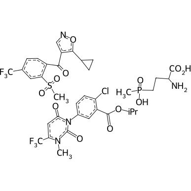 CC(C)OC(=O)c1cc(-n2c(=O)cc(C(F)(F)F)n(C)c2=O)ccc1Cl.CP(=O)(O)CCC(N)C(=O)O.CS(=O)(=O)c1cc(C(F)(F)F)ccc1C(=O)c1cnoc1C1CC1